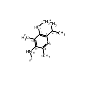 CPc1c(C(C)C)nc(C)c(NI)c1C